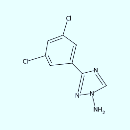 Nn1cnc(-c2cc(Cl)cc(Cl)c2)n1